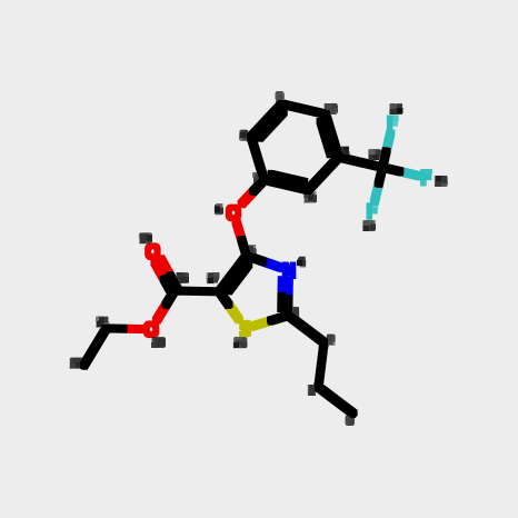 CCCc1nc(Oc2cccc(C(F)(F)F)c2)c(C(=O)OCC)s1